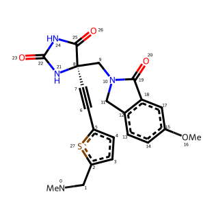 CNCc1ccc(C#C[C@]2(CN3Cc4ccc(OC)cc4C3=O)NC(=O)NC2=O)s1